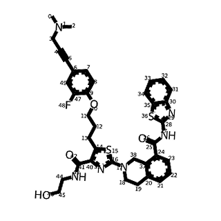 CN(C)CC#Cc1ccc(OCCCc2sc(N3CCc4cccc(C(=O)Nc5nc6ccccc6s5)c4C3)nc2C(=O)NCCO)c(F)c1